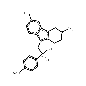 COc1ccc([C@](C)(O)Cn2c3c(c4cc(C)ccc42)CN(C)CC3)cc1